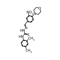 Cc1ccc(NC(=S)NN=Cc2ccc(N3CCOCC3)c([N+](=O)[O-])c2)c(C)c1